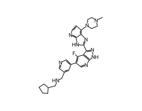 CN1CCN(c2ccnc3[nH]c(-c4n[nH]c5ncc(-c6cncc(CNCC7CCCC7)c6)c(F)c45)nc23)CC1